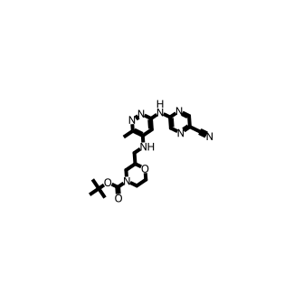 Cc1nnc(Nc2cnc(C#N)cn2)cc1NCC1CN(C(=O)OC(C)(C)C)CCO1